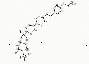 CCCc1ccc(CCC2CCC(C3CCC(C(F)(F)Oc4cc(F)c(C(F)(F)F)c(F)c4)CC3)CC2)cc1